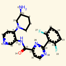 N[C@H]1CCCN(c2ccncc2NC(=O)c2ccnc(-c3c(F)cccc3F)n2)C1